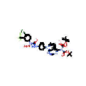 CC(C)(C)OC(=O)N(C(=O)OC(C)(C)C)c1ncnc2c1ccn2-c1ccc(NC(=O)N(O)c2ccc(Cl)c(C(F)(F)F)c2)cc1